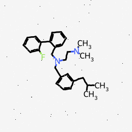 CC(C)Cc1cccc(CN(CCN(C)C)Cc2ccccc2-c2ccccc2F)c1